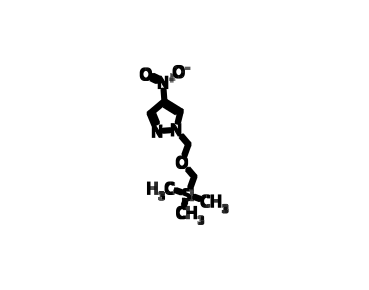 C[Si](C)(C)COCn1cc([N+](=O)[O-])cn1